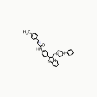 Cc1ccc(/C=C/C(=O)Nc2ccc(-c3nc4ccccn4c3CN3CCN(c4ccccc4)CC3)cc2)cc1